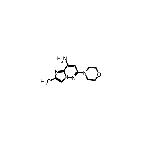 Cc1cn2nc(N3CCOCC3)cc(N)c2n1